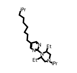 CCC1CN(C(C)C)CC(CC)N1c1ncc(CCCCCCCC(C)C)cn1